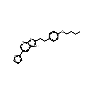 CCCCOc1ccc(CCc2nc3ncc(-c4ccco4)cc3[nH]2)cc1